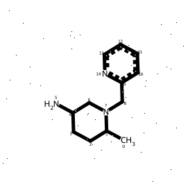 CC1CCC(N)CN1Cc1ccccn1